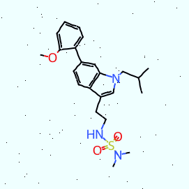 COc1ccccc1-c1ccc2c(CCNS(=O)(=O)N(C)C)cn(CC(C)C)c2c1